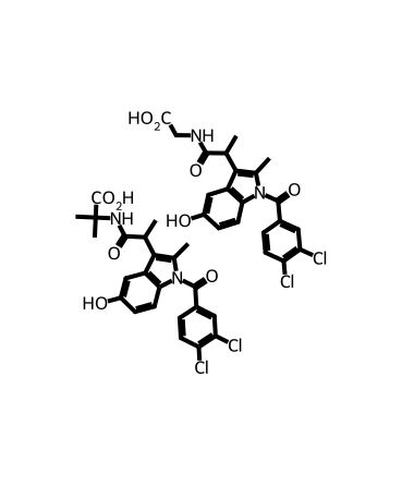 Cc1c(C(C)C(=O)NC(C)(C)C(=O)O)c2cc(O)ccc2n1C(=O)c1ccc(Cl)c(Cl)c1.Cc1c(C(C)C(=O)NCC(=O)O)c2cc(O)ccc2n1C(=O)c1ccc(Cl)c(Cl)c1